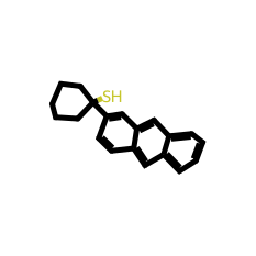 SC1(c2ccc3cc4ccccc4cc3c2)CCCCC1